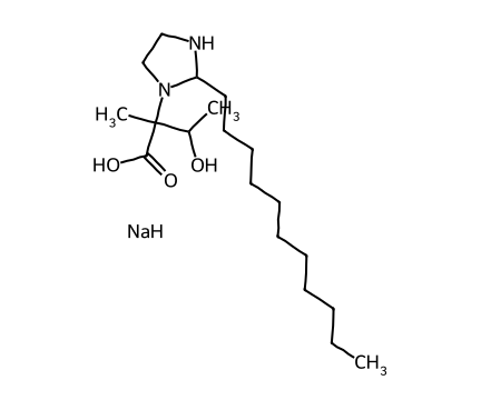 CCCCCCCCCCCC1NCCN1C(C)(C(=O)O)C(C)O.[NaH]